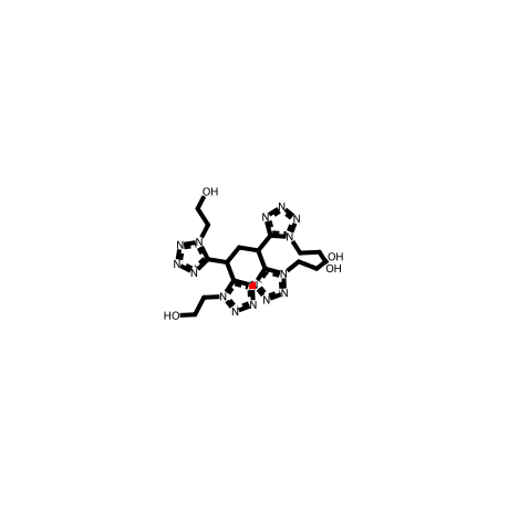 OCCn1nnnc1C(CC(c1nnnn1CCO)c1nnnn1CCO)c1nnnn1CCO